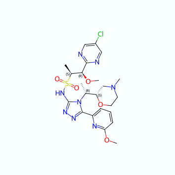 COc1cccc(-c2nnc(NS(=O)(=O)[C@@H](C)[C@H](OC)c3ncc(Cl)cn3)n2[C@H](C)[C@@H]2CN(C)CCO2)n1